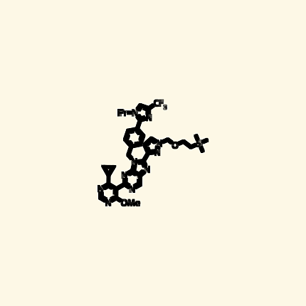 COc1ncnc(C2CC2)c1-c1ncc2nc(-c3ccn(COCC[Si](C)(C)C)n3)n(Cc3ccc(-c4nc(C(F)(F)F)cn4C(C)C)cc3)c2n1